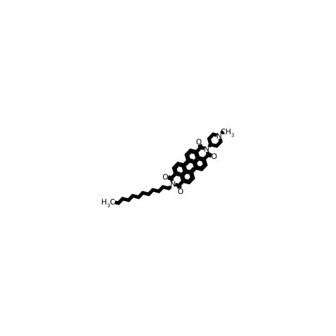 CCCCCCCCCCCCN1C(=O)c2ccc3c4ccc5c6c(ccc(c7ccc(c2c37)C1=O)c64)C(=O)N(C1CCN(C)CC1)C5=O